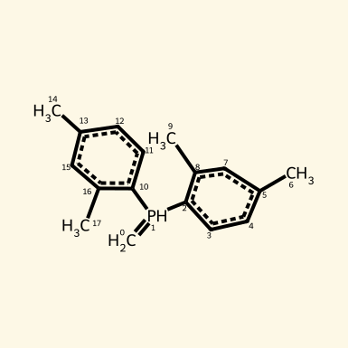 C=[PH](c1ccc(C)cc1C)c1ccc(C)cc1C